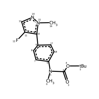 CN(C(=O)OC(C)(C)C)c1ccc(-c2c(F)cnn2C)cc1